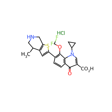 CC1CNCc2sc(-c3ccc4c(=O)c(C(=O)O)cn(C5CC5)c4c3OC(F)F)cc21.Cl